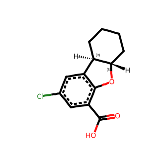 O=C(O)c1cc(Cl)cc2c1O[C@H]1CCCC[C@H]21